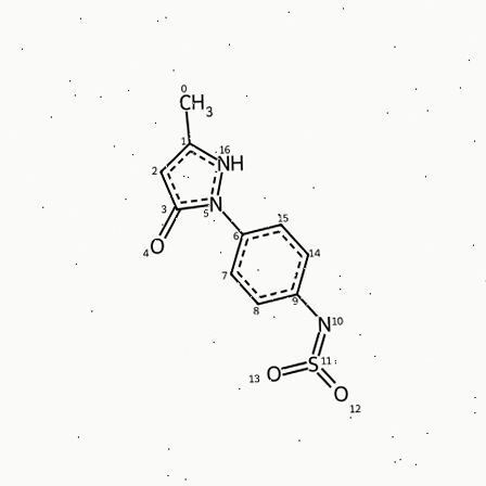 Cc1cc(=O)n(-c2ccc(N=S(=O)=O)cc2)[nH]1